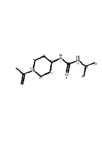 C=C(C)N1CCC(NC(=O)NC(C)C)CC1